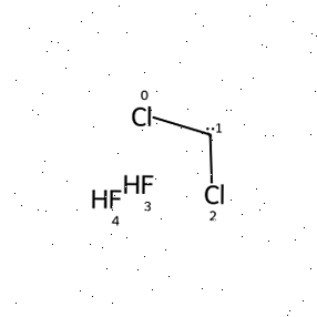 Cl[C]Cl.F.F